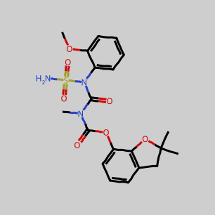 COc1ccccc1N(C(=O)N(C)C(=O)Oc1cccc2c1OC(C)(C)C2)S(N)(=O)=O